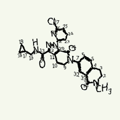 CN1CCc2ccc(N3CCc4c(C(=O)NCC5CC5)nn(-c5cccc(Cl)n5)c4C3=O)cc2C1=O